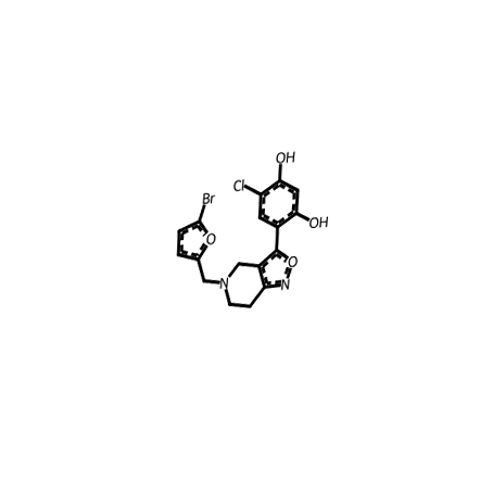 Oc1cc(O)c(-c2onc3c2CN(Cc2ccc(Br)o2)CC3)cc1Cl